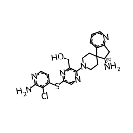 Nc1nccc(Sc2cnc(N3CCC4(CC3)c3cccnc3C[C@H]4N)c(CO)n2)c1Cl